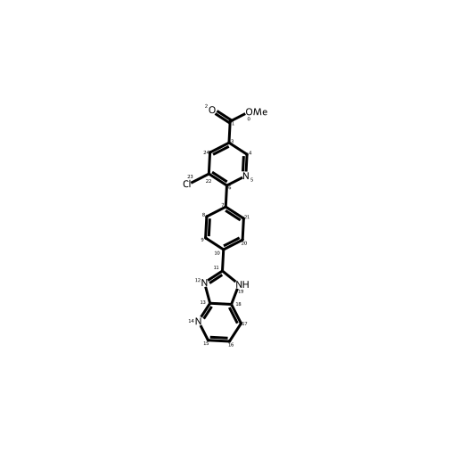 COC(=O)c1cnc(-c2ccc(-c3nc4ncccc4[nH]3)cc2)c(Cl)c1